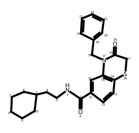 O=C(NCCC1CCCCC1)c1ccc2c(c1)N(Cc1ccccc1)C(=O)CS2